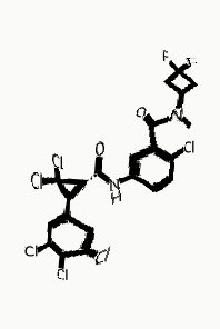 CN(C(=O)c1cc(NC(=O)[C@@H]2[C@@H](c3cc(Cl)c(Cl)c(Cl)c3)C2(Cl)Cl)ccc1Cl)C1CC(F)(F)C1